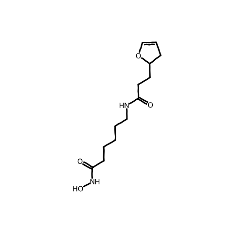 O=C(CCCCCNC(=O)CCC1CC=CO1)NO